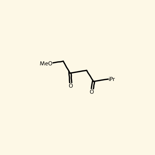 COCC(=O)CC(=O)C(C)C